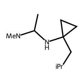 CNC(C)NC1(CC(C)C)CC1